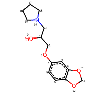 O[C@H](COc1ccc2c(c1)OCO2)CN1CCCC1